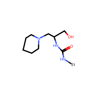 CCNC(=O)NC(CO)CN1CC[CH]CC1